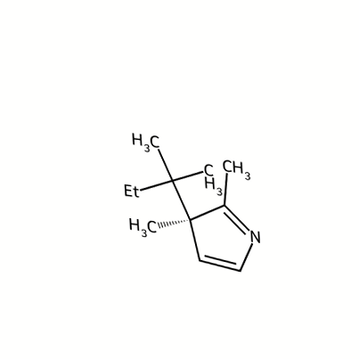 CCC(C)(C)[C@]1(C)C=CN=C1C